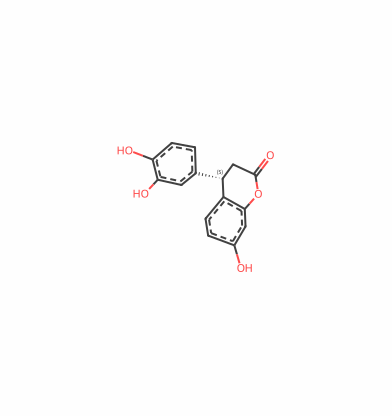 O=C1C[C@@H](c2ccc(O)c(O)c2)c2ccc(O)cc2O1